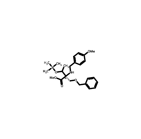 COC(=O)[C@](COCc1ccccc1)(NCc1ccc(OC)cc1)C(C)O[Si](C)(C)C